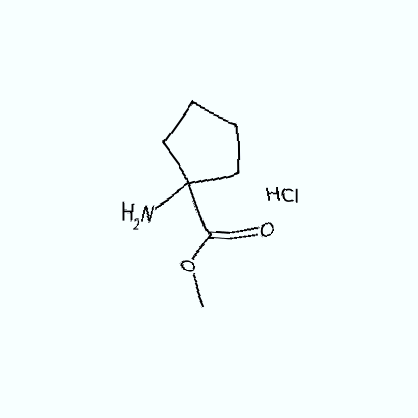 COC(=O)C1(N)CCCC1.Cl